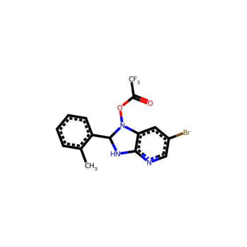 Cc1ccccc1C1Nc2ncc(Br)cc2N1OC(=O)C(F)(F)F